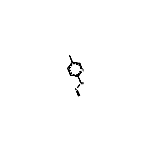 C=NNc1ccc(C)cn1